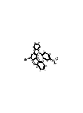 O=[N+]([O-])c1ccc(-n2c3ccccc3c3cc(Br)c4sc5ccccc5c4c32)cc1